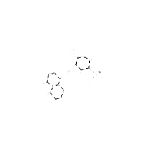 COc1ccc([N+](=O)[O-])cc1OCc1cccc2ccccc12